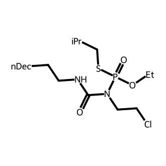 CCCCCCCCCCCCNC(=O)N(CCCl)P(=O)(OCC)SCC(C)C